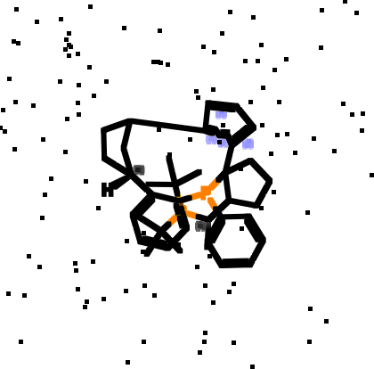 C[C@H](C1CCCC12C1=C\C=C/C(=C/C=C\1)C1CC[C@H](C1)c1ccccc1P2c1ccccc1)P(C(C)(C)C)C(C)(C)C